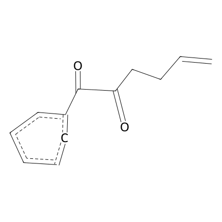 C=CCCC(=O)C(=O)c1ccccc1